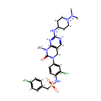 CC(C)N1C(=O)N(c2ccc(NS(=O)(=O)Cc3ccc(F)cc3)c(F)c2)Cc2cnc(NC3CCN(N(C)C)CC3)nc21